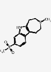 CN1CCc2[nH]c3cc(S(=O)(=O)C(F)(F)F)ccc3c2CC1